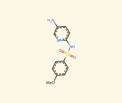 COc1ccc(S(=O)(=O)Nc2ccc(N)cn2)cc1